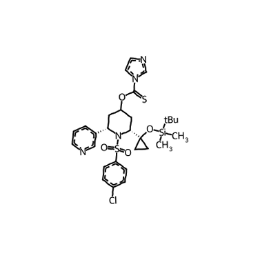 CC(C)(C)[Si](C)(C)OC1([C@H]2CC(OC(=S)n3ccnc3)C[C@@H](c3cccnc3)N2S(=O)(=O)c2ccc(Cl)cc2)CC1